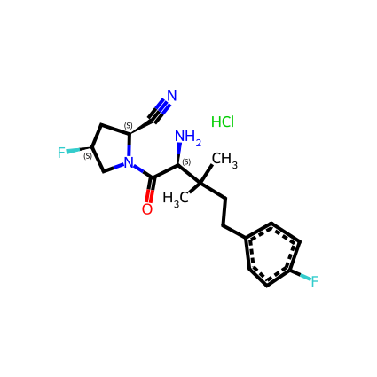 CC(C)(CCc1ccc(F)cc1)[C@H](N)C(=O)N1C[C@@H](F)C[C@H]1C#N.Cl